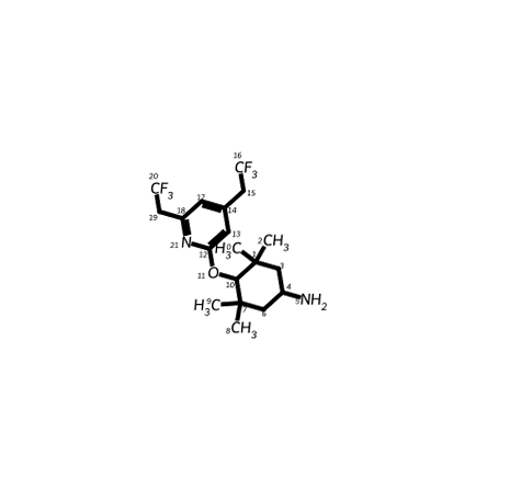 CC1(C)CC(N)CC(C)(C)C1Oc1cc(CC(F)(F)F)cc(CC(F)(F)F)n1